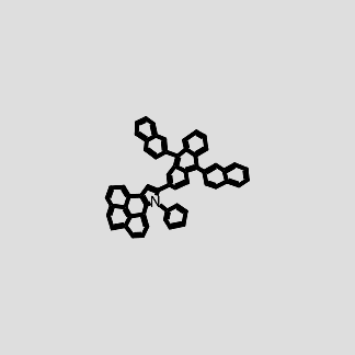 c1ccc(-n2c(-c3ccc4c(-c5ccc6ccccc6c5)c5ccccc5c(-c5ccc6ccccc6c5)c4c3)cc3c4cccc5ccc6cccc(c6c54)c32)cc1